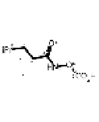 CC(C)CCC(=O)NOC(=O)O